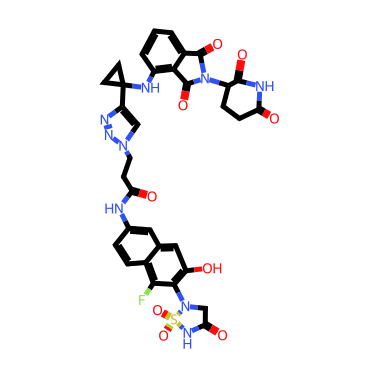 O=C1CCC(N2C(=O)c3cccc(NC4(c5cn(CCC(=O)Nc6ccc7c(F)c(N8CC(=O)NS8(=O)=O)c(O)cc7c6)nn5)CC4)c3C2=O)C(=O)N1